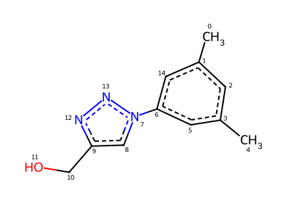 Cc1cc(C)cc(-n2cc(CO)nn2)c1